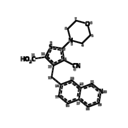 N#Cc1c(N2CCOCC2)sc(C(=O)O)c1Cc1ccc2ccncc2c1